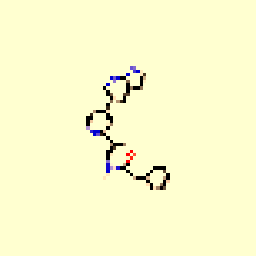 C/C(=C\N(C)C(=O)Cc1ccccc1)c1cc(-c2cnc3[nH]ccc3c2)ccn1